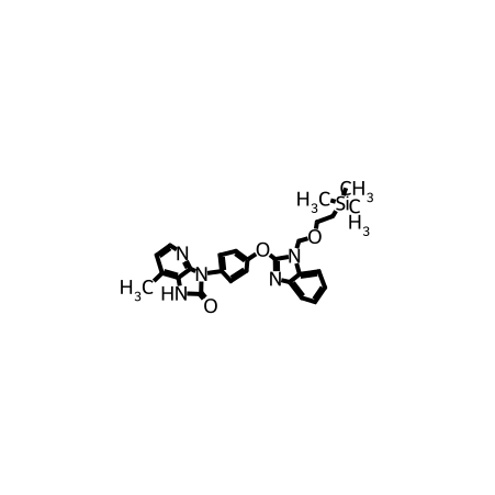 Cc1ccnc2c1[nH]c(=O)n2-c1ccc(Oc2nc3ccccc3n2COCC[Si](C)(C)C)cc1